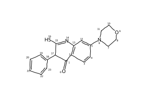 O=C1c2[c]cc(N3CCOCC3)cc2N=C(S)C1c1ccccc1